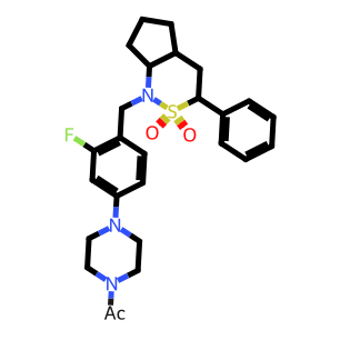 CC(=O)N1CCN(c2ccc(CN3C4CCCC4CC(c4ccccc4)S3(=O)=O)c(F)c2)CC1